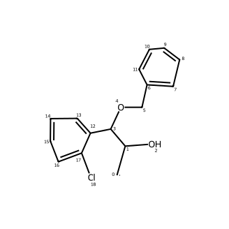 [CH2]C(O)C(OCc1ccccc1)c1ccccc1Cl